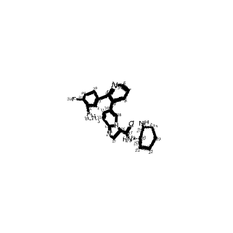 Cc1cc(-c2ncccc2-c2ccc3ncc(C(=O)N[C@H]4CCCC[C@@H]4N)n3c2)ccc1F